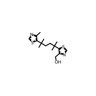 Cc1ncsc1C(C)(C)CCC(C)(C)c1scnc1CO